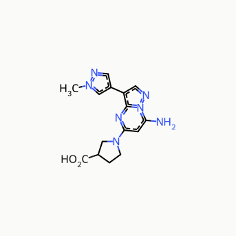 Cn1cc(-c2cnn3c(N)cc(N4CCC(C(=O)O)C4)nc23)cn1